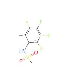 Cc1c(F)c(F)c(F)c(F)c1NS(C)(=O)=O